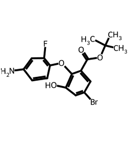 CC(C)(C)OC(=O)c1cc(Br)cc(O)c1Oc1ccc(N)cc1F